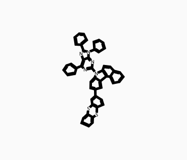 c1ccc(-c2nc(-n3c4ccc(-c5ccc6c(c5)Sc5ccccc5S6)cc4c4c5ccccc5ccc43)nc3c2nc(-c2ccccc2)n3-c2ccccc2)cc1